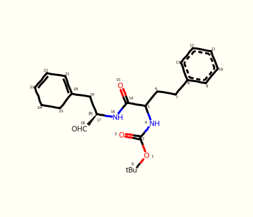 CC(C)(C)OC(=O)NC(CCc1ccccc1)C(=O)N[C@@H](C=O)CC1=CC=CCC1